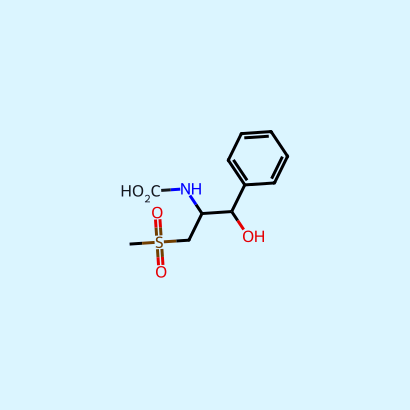 CS(=O)(=O)CC(NC(=O)O)C(O)c1ccccc1